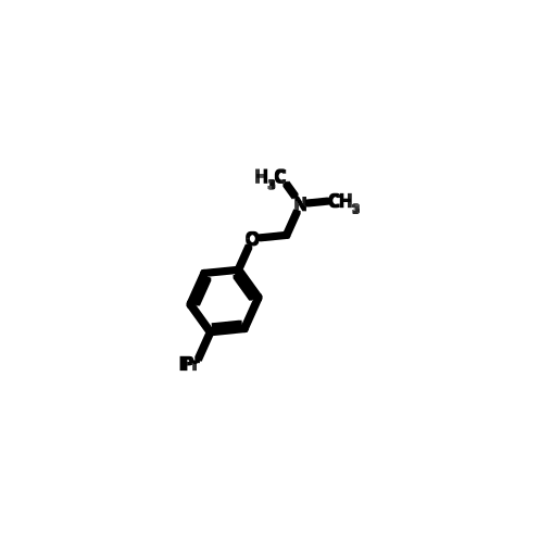 CC(C)c1ccc(OCN(C)C)cc1